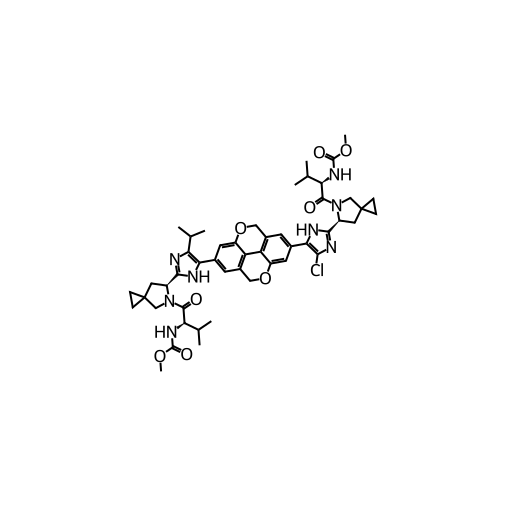 COC(=O)N[C@@H](C(=O)N1CC2(CC2)C[C@H]1c1nc(Cl)c(-c2cc3c4c(c2)OCc2cc(-c5[nH]c([C@@H]6CC7(CC7)CN6C(=O)[C@H](NC(=O)OC)C(C)C)nc5C(C)C)cc(c2-4)OC3)[nH]1)C(C)C